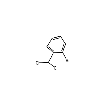 ClC(Cl)c1ccccc1Br